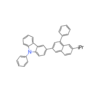 CC(C)c1ccc2cc(-c3ccc4c(c3)c3ccccc3n4-c3ccccc3)cc(-c3ccccc3)c2c1